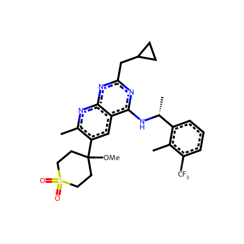 COC1(c2cc3c(N[C@H](C)c4cccc(C(F)(F)F)c4C)nc(CC4CC4)nc3nc2C)CCS(=O)(=O)CC1